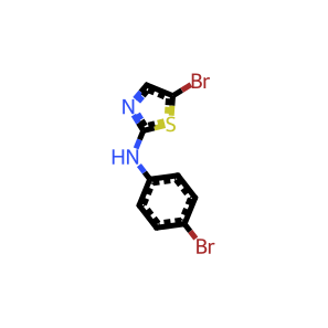 Brc1ccc(Nc2ncc(Br)s2)cc1